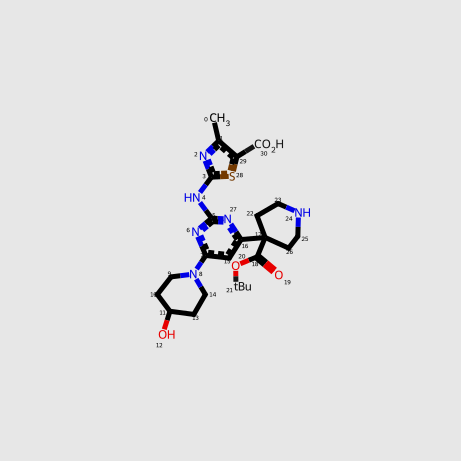 Cc1nc(Nc2nc(N3CCC(O)CC3)cc(C3(C(=O)OC(C)(C)C)CCNCC3)n2)sc1C(=O)O